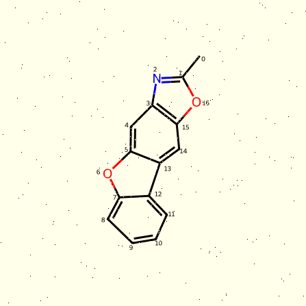 Cc1nc2cc3oc4ccccc4c3cc2o1